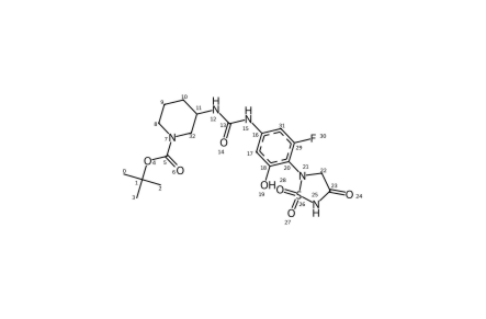 CC(C)(C)OC(=O)N1CCCC(NC(=O)Nc2cc(O)c(N3CC(=O)NS3(=O)=O)c(F)c2)C1